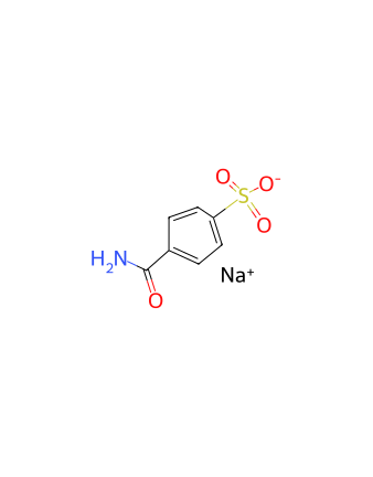 NC(=O)c1ccc(S(=O)(=O)[O-])cc1.[Na+]